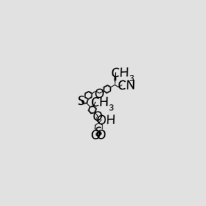 CC#C[C@@H](CC#N)c1ccc(OCc2ccc3scc(-c4ccc(OCC5(O)CCS(=O)(=O)CC5)cc4C)c3c2)cc1